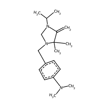 C=C1N(C(C)C)CN(Cc2ccc(N(C)C)cc2)C1(C)C